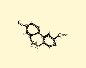 COc1ccc(F)c(-c2ccc(C(C)=O)cc2C(C)(C)C)c1